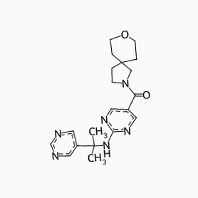 CC(C)(Nc1ncc(C(=O)N2CCC3(CCOCC3)C2)cn1)c1cncnc1